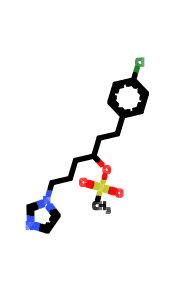 CS(=O)(=O)OC(CCCn1ccnc1)CCc1ccc(Cl)cc1